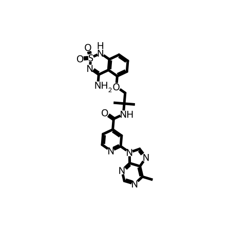 Cc1ncnc2c1ncn2-c1cc(C(=O)NC(C)(C)COc2cccc3c2C(N)=NS(=O)(=O)N3)ccn1